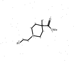 COC(=O)C1(C)CCN(CCC(C)C)CC1